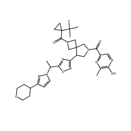 Cc1nc(C(=O)N2CC(c3noc(C(C)n4ccc(C5CCOCC5)n4)n3)C3(C2)CN(C(=O)C2(C(F)(F)F)CC2)C3)cnc1O